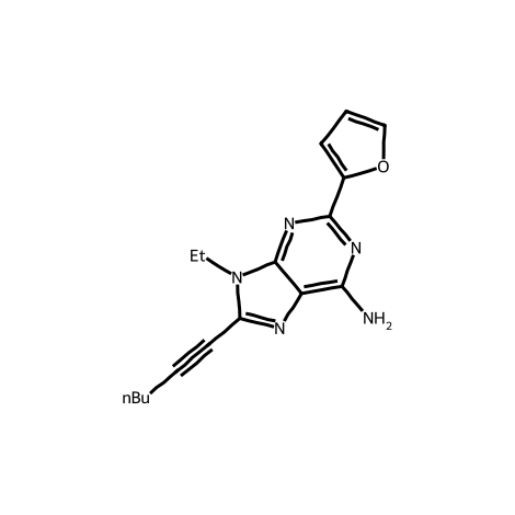 CCCCC#Cc1nc2c(N)nc(-c3ccco3)nc2n1CC